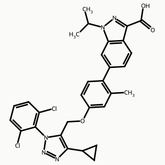 Cc1cc(OCc2c(C3CC3)nnn2-c2c(Cl)cccc2Cl)ccc1-c1ccc2c(C(=O)O)nn(C(C)C)c2c1